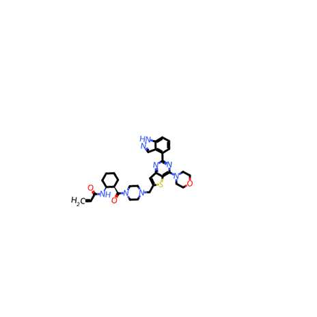 C=CC(=O)N[C@H]1CCCC[C@H]1C(=O)N1CCN(Cc2cc3nc(-c4cccc5[nH]ncc45)nc(N4CCOCC4)c3s2)CC1